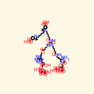 CC1(C)C(/C=C/C=C/C=C2/N(CCCCCC(=O)NC(CSSCCCC(=O)OCC#Cc3cn(C4CC(O)C(COP(=O)(O)OP(=O)(O)OP(=O)(O)O)O4)c4ncnc(N)c34)C(=O)NCCCCCC(=O)NCC#Cc3cn(C4CC(OP(=O)(O)O)C(COP(=O)(O)O)O4)c(=O)nc3N)c3ccc(S(=O)(=O)O)cc3C2(C)C)=Nc2ccc(S(=O)(=O)O)cc21